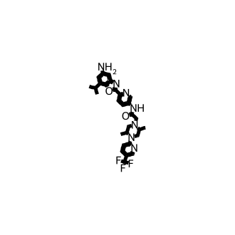 CC(C)c1cc(N)cc2nc(-c3ccc(NC(=O)CN4CC(C)N(c5ccc(C(F)(F)F)cn5)CC4C)cn3)oc12